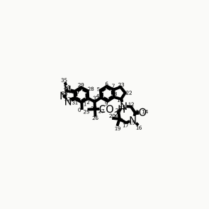 Cc1c(C(c2ccc3c(c2)C(N2CC(=O)N(C)CC(C)(C)C2)CC3)C(C)(C)C(=O)O)ccc2c1nnn2C